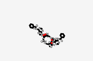 O=C(Nc1ncnc2c1ncn2[C@@H]1O[C@@H]2CO[P@@](=O)(S)O[C@H]3[C@H]4OC[C@]3(CO[PH](=O)O[C@@H]1[C@@H]2O)O[C@H]4n1cnc2c(NC(=O)c3ccccc3)ncnc21)c1ccccc1